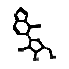 O=c1n([C@@H]2O[C@H](CO)[C@@H](O)[C@H]2O)ccc2nccn12